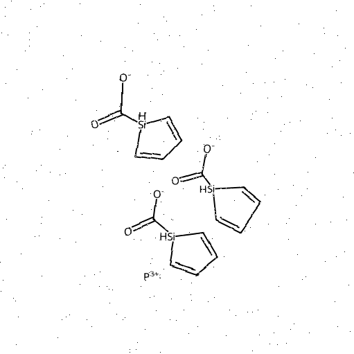 O=C([O-])[SiH]1C=CC=C1.O=C([O-])[SiH]1C=CC=C1.O=C([O-])[SiH]1C=CC=C1.[P+3]